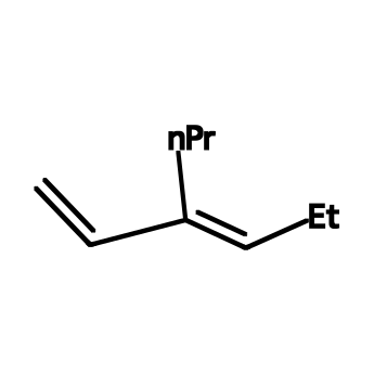 C=C/C(=C/CC)CCC